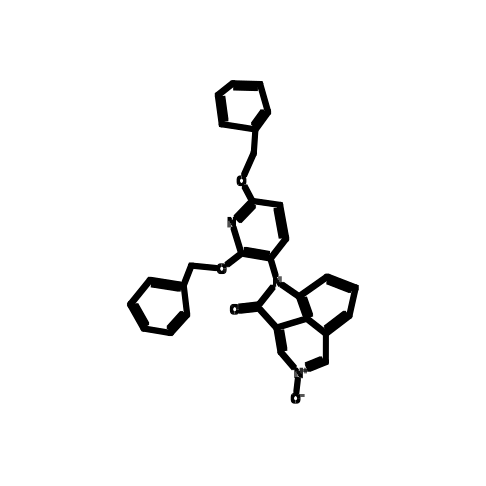 O=C1c2c[n+]([O-])cc3cccc(c23)N1c1ccc(OCc2ccccc2)nc1OCc1ccccc1